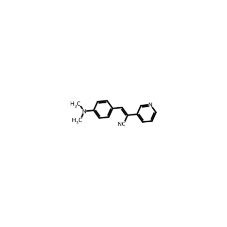 CN(C)c1ccc(/C=C(\C#N)c2cccnc2)cc1